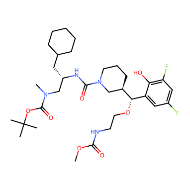 COC(=O)NCCO[C@@H](c1cc(F)cc(F)c1O)[C@@H]1CCCN(C(=O)N[C@@H](CC2CCCCC2)CN(C)C(=O)OC(C)(C)C)C1